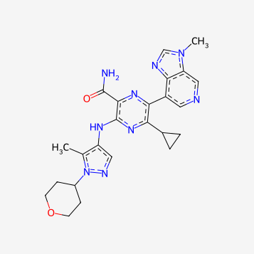 Cc1c(Nc2nc(C3CC3)c(-c3cncc4c3ncn4C)nc2C(N)=O)cnn1C1CCOCC1